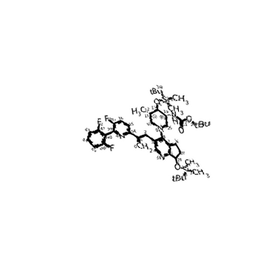 C=C(Cc1cnc2c(c1N1C[C@H](C)C(O[Si](C)(C)C(C)(C)C)[C@H](NC(=O)OC(C)(C)C)C1)CCC2O[Si](C)(C)C(C)(C)C)c1ccc(F)c(-c2c(F)cccc2F)n1